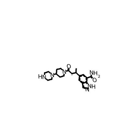 CC([CH]C(=O)N1CCC(N2CCNCC2)CC1)c1cc(C(N)=O)c2[nH]ncc2c1